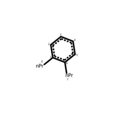 CCCc1[c]cc[c]c1CCC